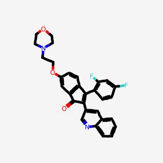 O=C1C(c2cnc3ccccc3c2)=C(c2ccc(F)cc2F)c2ccc(OCCN3CCOCC3)cc21